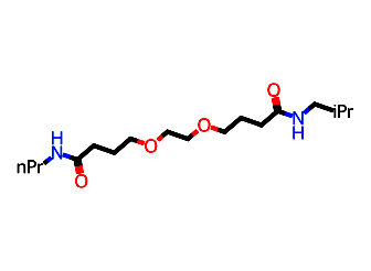 CCCNC(=O)CCCOCCOCCCC(=O)NCC(C)C